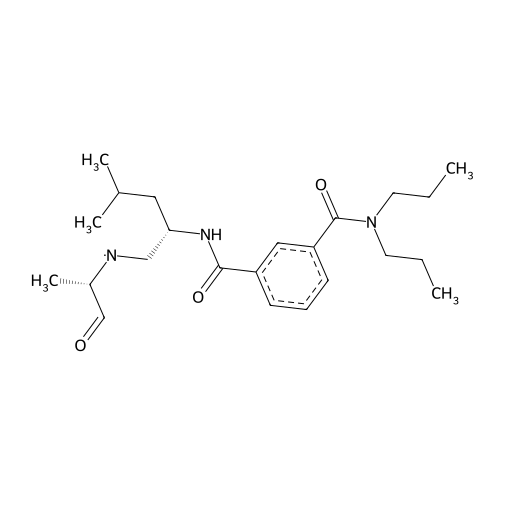 CCCN(CCC)C(=O)c1cccc(C(=O)N[C@H](C[N][C@@H](C)C=O)CC(C)C)c1